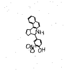 O=[N+]([O-])c1cc(C2Nc3ccc4ccccc4c3C3C=CCC32)ccc1O